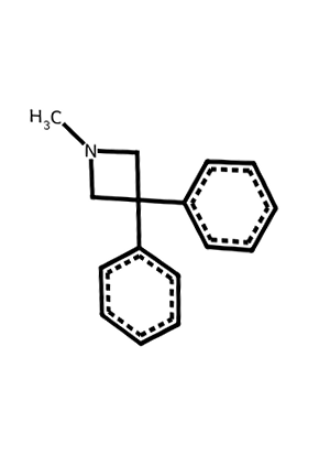 CN1CC(c2ccccc2)(c2ccccc2)C1